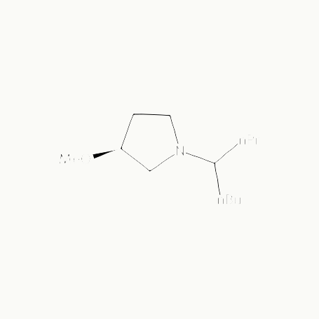 CCCCC(CCC)N1CC[C@H](OC)C1